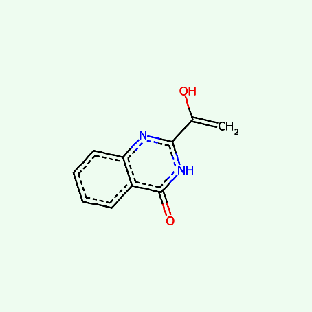 C=C(O)c1nc2ccccc2c(=O)[nH]1